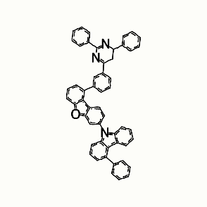 c1ccc(C2=NC(c3ccccc3)CC(c3cccc(-c4cccc5oc6cc(-n7c8ccccc8c8c(-c9ccccc9)cccc87)ccc6c45)c3)=N2)cc1